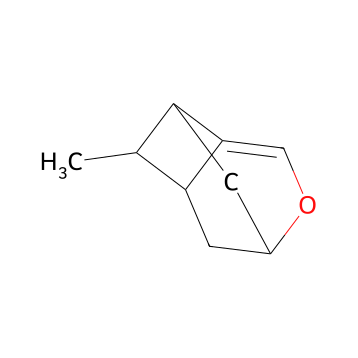 CC1C2CC3CC1C2=CO3